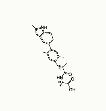 C/C(=C\c1cc(C)c(-c2ccc3[nH]c(C)cc3c2)cc1C)C(=O)N[C@H](C)C(=O)O